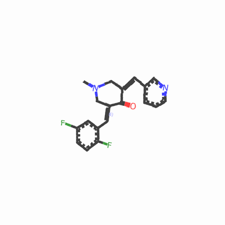 CN1CC(=Cc2cccnc2)C(=O)/C(=C/c2cc(F)ccc2F)C1